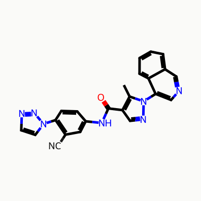 Cc1c(C(=O)Nc2ccc(-n3ccnn3)c(C#N)c2)cnn1-c1cncc2ccccc12